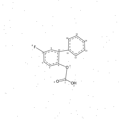 O=S(O)Oc1ccc(F)cc1-c1ccccc1